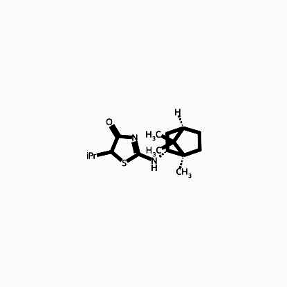 CC(C)C1SC(N[C@@H]2C[C@H]3CC[C@]2(C)C3(C)C)=NC1=O